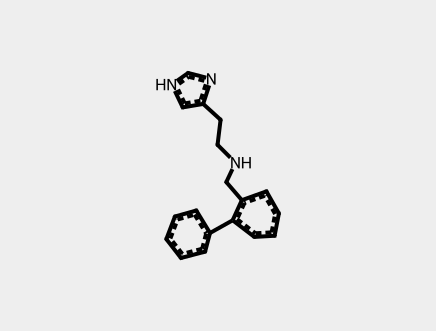 c1ccc(-c2ccccc2CNCCc2c[nH]cn2)cc1